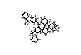 CC1(C)c2ccccc2-c2ccc(N(c3ccc4c(c3)C(C)(C)c3ccccc3-4)c3cccc4c3-c3ccccc3C43C4CC5CC(C4)CC3C5)cc21